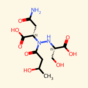 CC(O)CC(=O)N(N[C@@H](CO)C(=O)O)[C@@H](CC(N)=O)C(=O)O